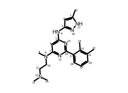 Cc1cc(Nc2cc(N(C)CCN(C)C)nc(-c3cccc(C)c3C)n2)n[nH]1